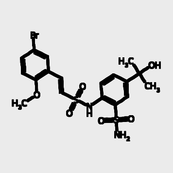 COc1ccc(Br)cc1/C=C/S(=O)(=O)Nc1ccc(C(C)(C)O)cc1S(N)(=O)=O